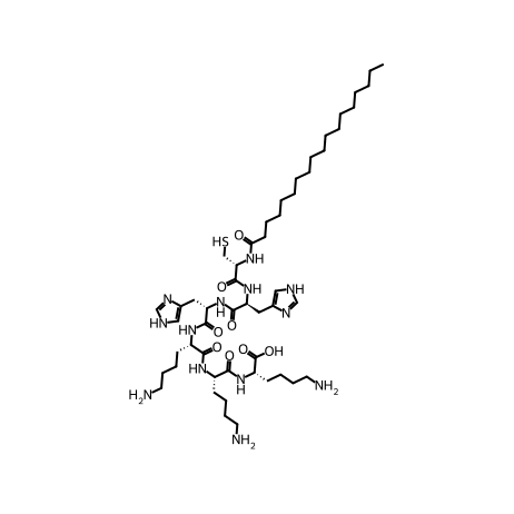 CCCCCCCCCCCCCCCCCC(=O)N[C@@H](CS)C(=O)N[C@@H](Cc1c[nH]cn1)C(=O)N[C@@H](Cc1c[nH]cn1)C(=O)N[C@@H](CCCCN)C(=O)N[C@@H](CCCCN)C(=O)N[C@@H](CCCCN)C(=O)O